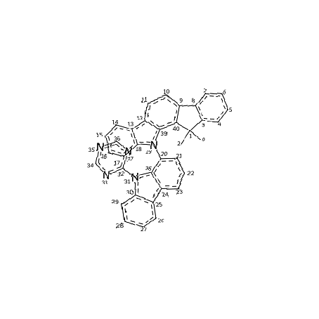 CC1(C)c2ccccc2-c2ccc3c4ccccc4n(-c4cccc5c6ccccc6n(-c6ncncn6)c45)c3c21